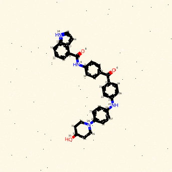 O=C(c1ccc(NC(=O)c2cccc3[nH]ccc23)cc1)c1ccc(Nc2ccc(N3CCC(O)CC3)cc2)cc1